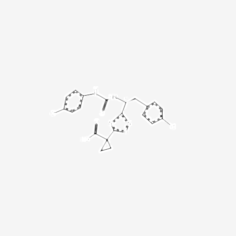 O=C(Nc1ccc(Cl)cc1)N[C@@H](Cc1ccc(Cl)cc1)c1noc(C2(C(=O)O)CC2)n1